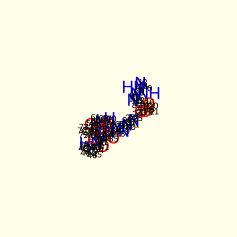 Cc1cn[nH]c1Nc1ncnc2c1=CC(S(=O)(=O)C(C)(C)C)C(OCCN1CCN(c3cnc(C(=O)N[C@H]4C[C@@H](C(=O)N[C@@H]5CCCc6ccccc65)N(C(=O)[C@@H](NC(=O)[C@H](C)N(C)C(=O)OC(C)(C)C)C5CCCCC5)C4)cn3)CC1)C=2